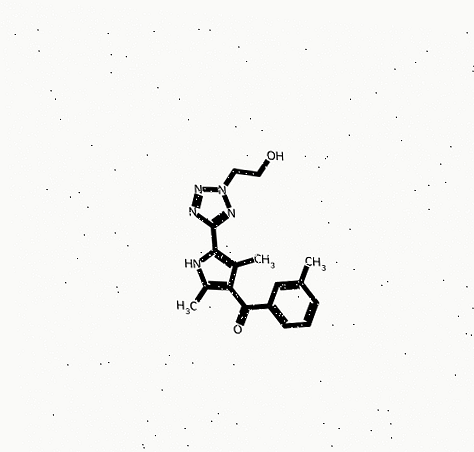 Cc1cccc(C(=O)c2c(C)[nH]c(-c3nnn(CCO)n3)c2C)c1